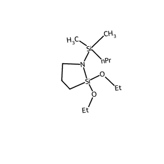 CCC[Si](C)(C)N1CCC[Si]1(OCC)OCC